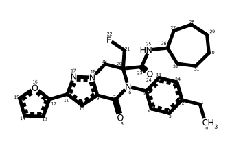 CCc1ccc(N2C(=O)c3cc(-c4ccco4)nn3CC2(CF)C(=O)NC2CCCCCC2)cc1